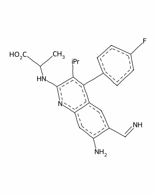 CC(Nc1nc2cc(N)c(C=N)cc2c(-c2ccc(F)cc2)c1C(C)C)C(=O)O